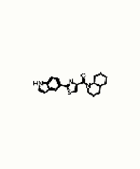 O=C(c1csc(-c2ccc3[nH]ccc3c2)n1)N1CCCC2CCCCC21